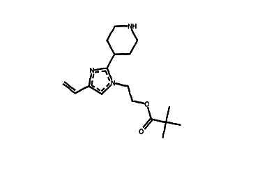 C=Cc1cn(CCOC(=O)C(C)(C)C)c(C2CCNCC2)n1